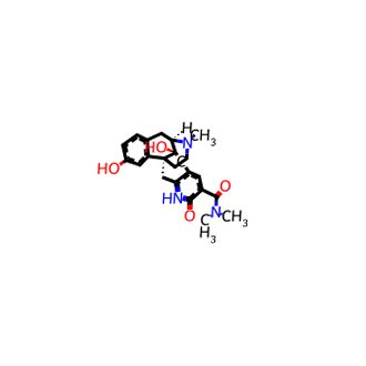 CN(C)C(=O)c1cc2c([nH]c1=O)C[C@]13CCN(C)[C@H](Cc4ccc(O)cc41)[C@]3(O)C2